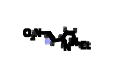 CCn1ccc(/C=C/[N+](=O)[O-])n1